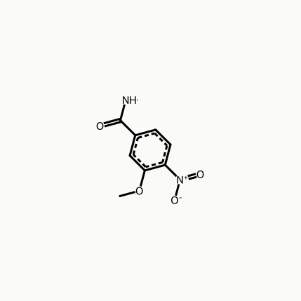 COc1cc(C([NH])=O)ccc1[N+](=O)[O-]